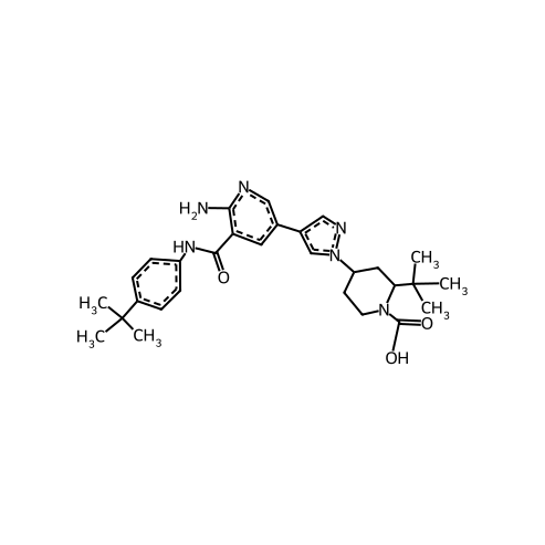 CC(C)(C)c1ccc(NC(=O)c2cc(-c3cnn(C4CCN(C(=O)O)C(C(C)(C)C)C4)c3)cnc2N)cc1